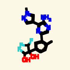 Cc1ccc(C(O)(C(O)F)C(F)F)cc1-c1cnc(N)c(-c2cnn(C)c2)n1